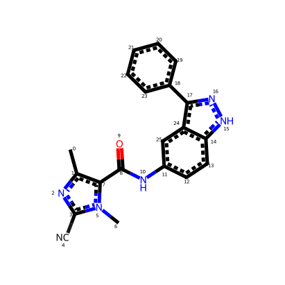 Cc1nc(C#N)n(C)c1C(=O)Nc1ccc2[nH]nc(-c3ccccc3)c2c1